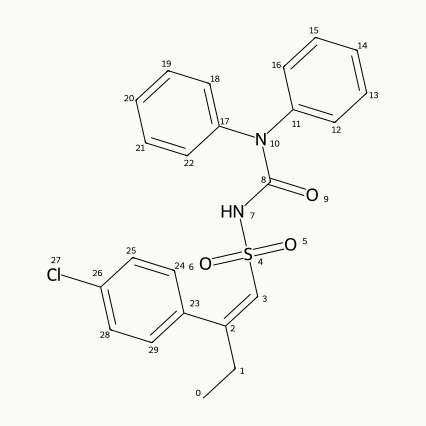 CC/C(=C/S(=O)(=O)NC(=O)N(c1ccccc1)c1ccccc1)c1ccc(Cl)cc1